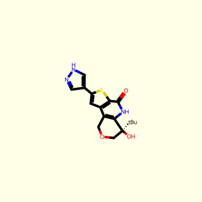 CC(C)(C)[C@]1(O)COCc2c1[nH]c(=O)c1sc(-c3cn[nH]c3)cc21